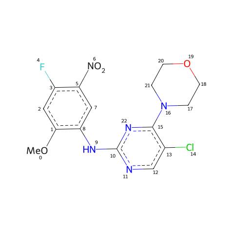 COc1cc(F)c([N+](=O)[O-])cc1Nc1ncc(Cl)c(N2CCOCC2)n1